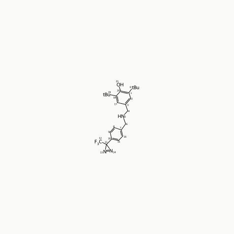 CC(C)(C)c1cc(CNCc2ccc(C3(C(F)(F)F)N=N3)cc2)cc(C(C)(C)C)c1O